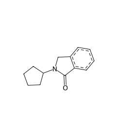 O=C1c2ccccc2CN1C1CCCC1